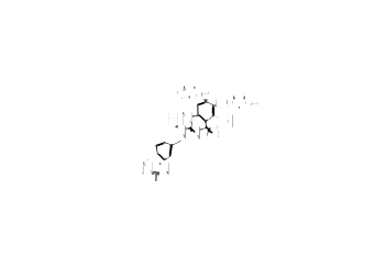 COc1cc2[nH]c(N(C)Cc3cccc(N=C(C)N(C)C)c3)nc(=O)c2c(O)c1OC